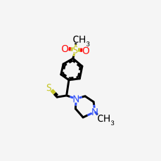 CN1CCN(C(C=S)c2ccc(S(C)(=O)=O)cc2)CC1